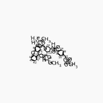 COCCCCC1(CNC(=O)[C@H]2C[C@@H](NS(=O)(=O)c3ccc(COS(C)(=O)=O)cc3)CN(C(=O)OC(C)(C)C)C2)c2ccccc2Oc2ccccc21